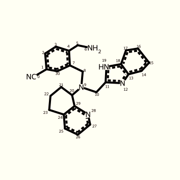 N#Cc1ccc(CN)c(CN(Cc2nc3ccccc3[nH]2)C2CCCc3cccnc32)c1